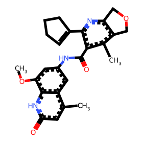 COc1cc(NC(=O)c2c(C3=CCCC3)nc3c(c2C)COC3)cc2c(C)cc(=O)[nH]c12